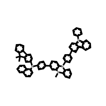 CN1c2ccccc2N(c2ccc(-c3ccc4c(c3)c3ccccc3n4-c3ccccc3)cc2)c2ccc(-c3ccc(N(c4ccc5c(c4)C(C)(C)c4ccccc4-5)c4cccc5ccccc45)cc3)cc21